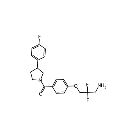 NCC(F)(F)COc1ccc(C(=O)N2CCC(c3ccc(F)cc3)C2)cc1